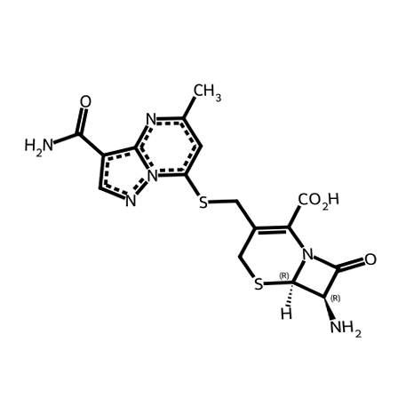 Cc1cc(SCC2=C(C(=O)O)N3C(=O)[C@@H](N)[C@H]3SC2)n2ncc(C(N)=O)c2n1